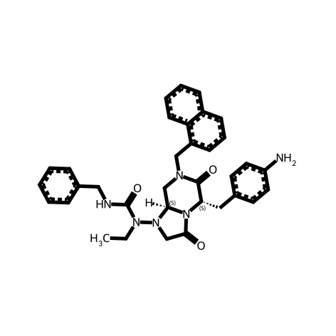 CCN(C(=O)NCc1ccccc1)N1CC(=O)N2[C@@H](Cc3ccc(N)cc3)C(=O)N(Cc3cccc4ccccc34)C[C@@H]21